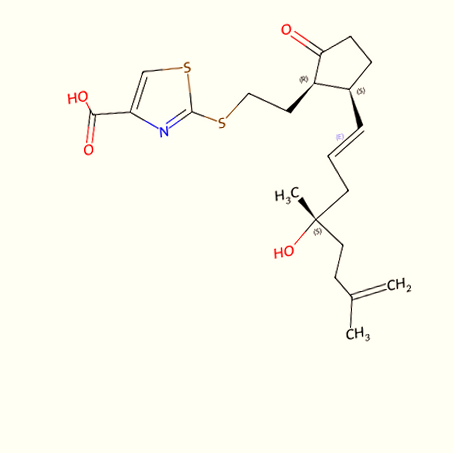 C=C(C)CC[C@](C)(O)C/C=C/[C@@H]1CCC(=O)[C@@H]1CCSc1nc(C(=O)O)cs1